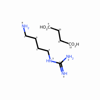 N=C(N)NCCCCN.O=C(O)CCC(=O)O